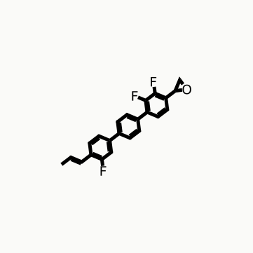 C/C=C/c1ccc(-c2ccc(-c3ccc(C4CO4)c(F)c3F)cc2)cc1F